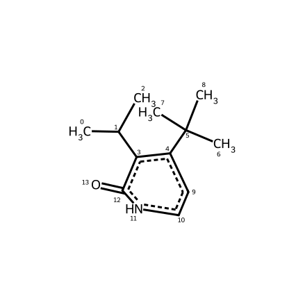 CC(C)c1c(C(C)(C)C)cc[nH]c1=O